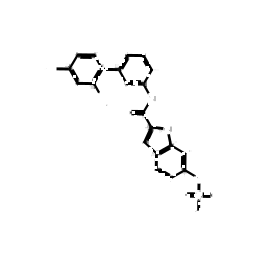 CS(=O)(=O)Nc1ccc2cc(C(=O)Nc3cccc(-c4ccc(F)cc4F)c3)[nH]c2c1